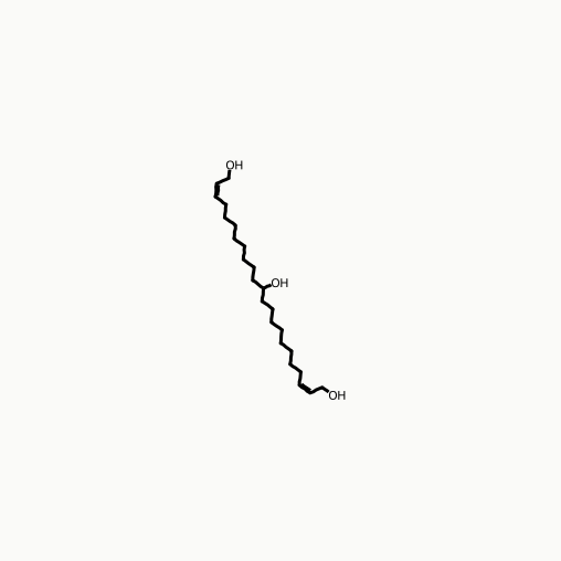 OC/C=C\CCCCCCCCC(O)CCCCCCCC/C=C\CO